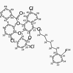 O=C(Oc1c(Oc2ccccc2Cl)c(Oc2ccccc2Cl)c(OCCCCCCc2ccccc2F)c2ccc(Cl)cc12)c1ccccc1